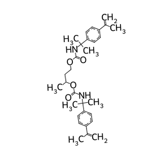 C=C(C)c1ccc(C(C)(C)NC(=O)OCCC(C)OC(=O)NC(C)(C)c2ccc(C(=C)C)cc2)cc1